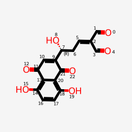 O=CC(C=O)=CC[C@@H](O)C1=CC(=O)c2c(O)ccc(O)c2C1=O